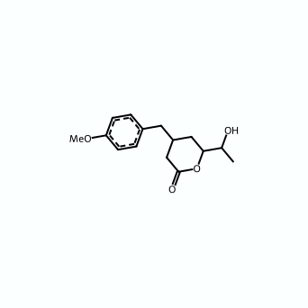 COc1ccc(CC2CC(=O)OC(C(C)O)C2)cc1